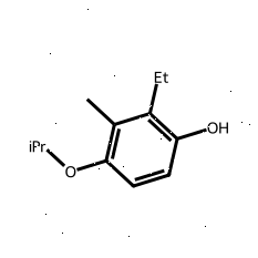 CCc1c(O)ccc(OC(C)C)c1C